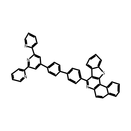 c1ccc(-c2cc(-c3ccc(-c4ccc(-c5nc6ccc7ccccc7c6c6sc7ccccc7c56)cc4)cc3)cc(-c3ccccn3)n2)nc1